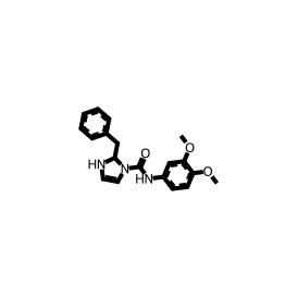 COc1ccc(NC(=O)N2C=CNC2Cc2ccccc2)cc1OC